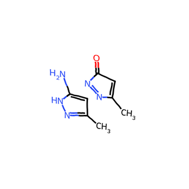 CC1=CC(=O)N=N1.Cc1cc(N)[nH]n1